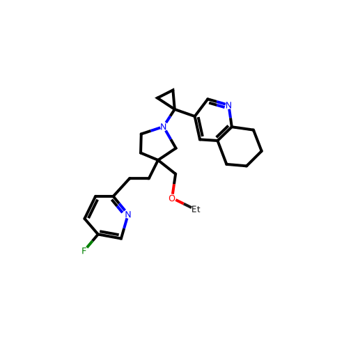 CCOCC1(CCc2ccc(F)cn2)CCN(C2(c3cnc4c(c3)CCCC4)CC2)C1